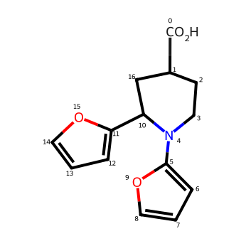 O=C(O)C1CCN(c2ccco2)C(c2ccco2)C1